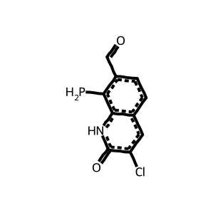 O=Cc1ccc2cc(Cl)c(=O)[nH]c2c1P